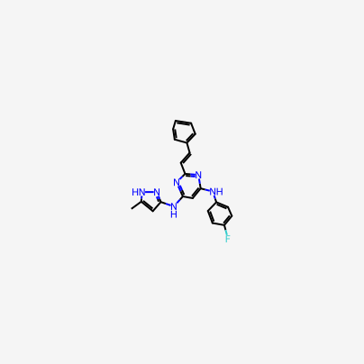 Cc1cc(Nc2cc(Nc3ccc(F)cc3)nc(/C=C/c3ccccc3)n2)n[nH]1